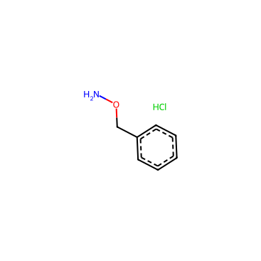 Cl.NOCc1ccccc1